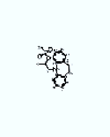 CC(CN1c2ccccc2CCc2ccccc21)OS(C)(=O)=O